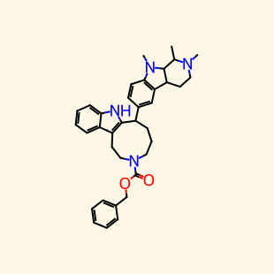 CC1C2C(CCN1C)c1cc(C3CCCN(C(=O)OCc4ccccc4)CCc4c3[nH]c3ccccc43)ccc1N2C